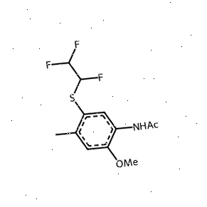 COc1cc(C)c(SC(F)C(F)F)cc1NC(C)=O